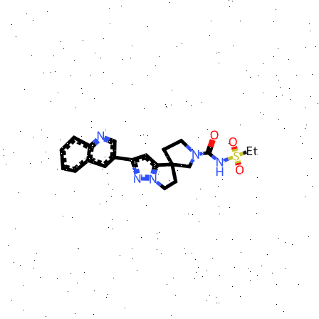 CCS(=O)(=O)NC(=O)N1CCC2(CCn3nc(-c4cnc5ccccc5c4)cc32)C1